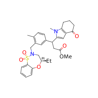 CC[C@@H]1CN(Cc2cc(C(CC(=O)OC)c3cc4c(n3C)CCCC4=O)ccc2C)S(=O)(=O)c2ccccc2O1